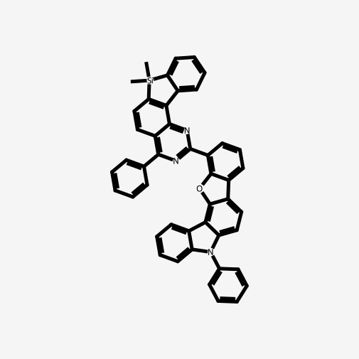 C[Si]1(C)c2ccccc2-c2c1ccc1c(-c3ccccc3)nc(-c3cccc4c3oc3c4ccc4c3c3ccccc3n4-c3ccccc3)nc21